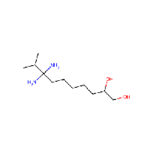 CC(C)C(N)(N)CCCCCC(O)CO